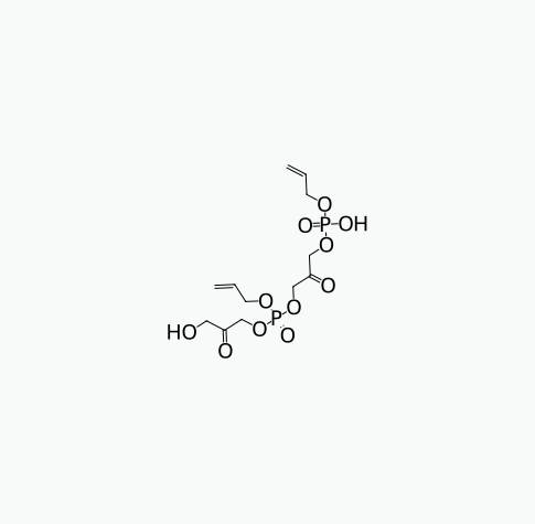 C=CCOP(=O)(O)OCC(=O)COP(=O)(OCC=C)OCC(=O)CO